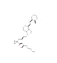 C=C1/C(=C\C=C2/CCC[C@]3(C)[C@@H]([C@H](C)/C=C/[C@H](O)C4(c5cc(CCCCC)co5)CC4)CC[C@@H]23)C[C@@H](O)C[C@@H]1O